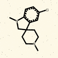 CN1CCC2(CC1)CN(C)c1ccc(Cl)cc12